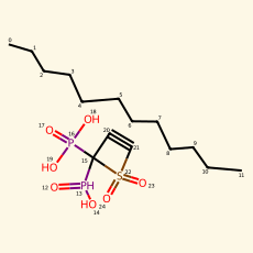 CCCCCCCCCCCC.O=[PH](O)C1(P(=O)(O)O)C#CS1(=O)=O